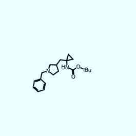 CC(C)(C)OC(=O)NC1(CC2CCN(Cc3ccccc3)C2)CC1